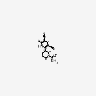 CC1=C(C#N)CC(C#N)=C(C2CCCN(C(N)=O)C2)N1